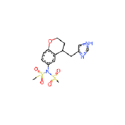 CS(=O)(=O)N(c1ccc2c(c1)C(Cc1c[nH]cn1)CCO2)S(C)(=O)=O